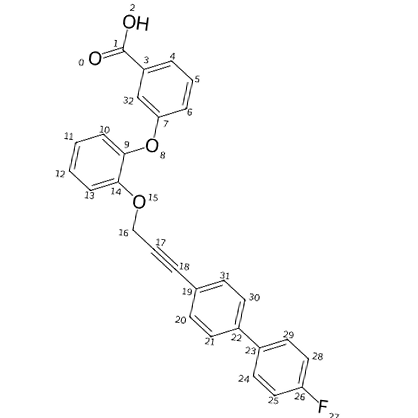 O=C(O)c1cccc(Oc2ccccc2OCC#Cc2ccc(-c3ccc(F)cc3)cc2)c1